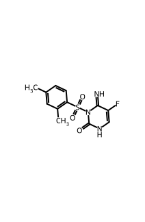 Cc1ccc(S(=O)(=O)n2c(=O)[nH]cc(F)c2=N)c(C)c1